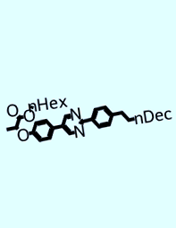 CCCCCCCCCCCCc1ccc(-c2ncc(-c3ccc(OC(C)C(=O)OCCCCCC)cc3)cn2)cc1